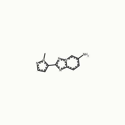 Cn1nccc1-c1nc2ccc(N)cn2n1